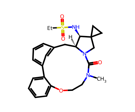 CCS(=O)(=O)N[C@@H]1[C@@H]2Cc3cccc(c3)-c3ccccc3OCCN(C)C(=O)N2CC12CC2